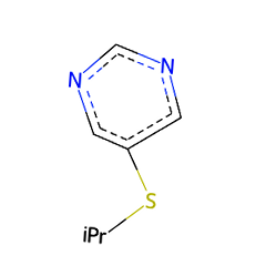 CC(C)Sc1cncnc1